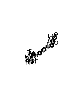 CN(Cc1ccc2c(c1F)C(=O)N(C1CCC(=O)NC1=O)C2=O)C1CCN(c2ccc(Nc3ncc(C(F)(F)F)c(NCc4nccnc4N(C)S(C)(=O)=O)n3)cc2)CC1